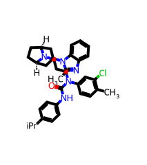 Cc1ccc(N(CCCN2[C@@H]3CC[C@H]2CC(n2c(C)nc4ccccc42)C3)C(=O)Nc2ccc(C(C)C)cc2)cc1Cl